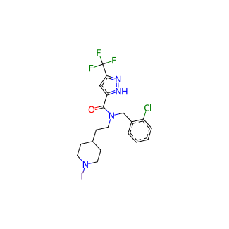 O=C(c1cc(C(F)(F)F)n[nH]1)N(CCC1CCN(I)CC1)Cc1ccccc1Cl